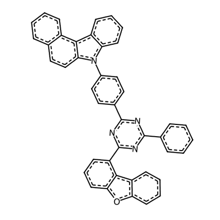 c1ccc(-c2nc(-c3ccc(-n4c5ccccc5c5c6ccccc6ccc54)cc3)nc(-c3cccc4oc5ccccc5c34)n2)cc1